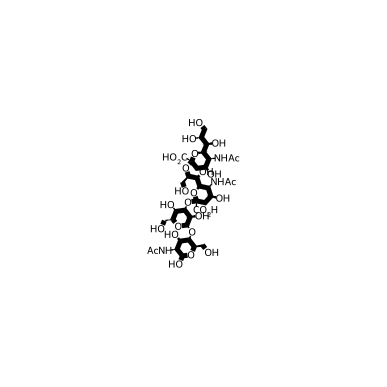 CC(=O)N[C@H]1[C@H]([C@H](O)[C@H](O)CO)O[C@@](O[C@H](CO)[C@@H](O)[C@@H]2O[C@@](O[C@H]3[C@@H](O)[C@@H](CO)O[C@@H](O[C@H]4[C@H](O)[C@@H](NC(C)=O)C(O)O[C@@H]4CO)[C@@H]3O)(C(=O)O)C[C@H](O)[C@H]2NC(C)=O)(C(=O)O)C[C@@H]1O